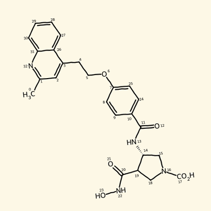 Cc1cc(CCOc2ccc(C(=O)N[C@@H]3CN(C(=O)O)CC3C(=O)NO)cc2)c2ccccc2n1